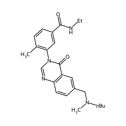 CCCCN(C)Cc1ccc2ncn(-c3cc(C(=O)NCC)ccc3C)c(=O)c2c1